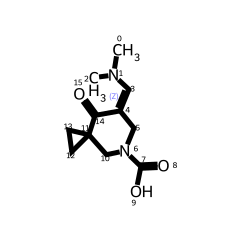 CN(C)/C=C1/CN(C(=O)O)CC2(CC2)C1=O